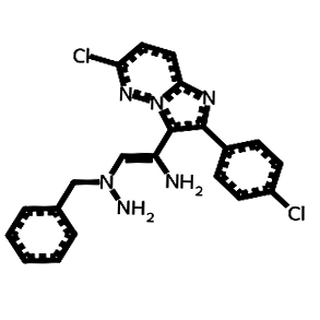 N/C(=C\N(N)Cc1ccccc1)c1c(-c2ccc(Cl)cc2)nc2ccc(Cl)nn12